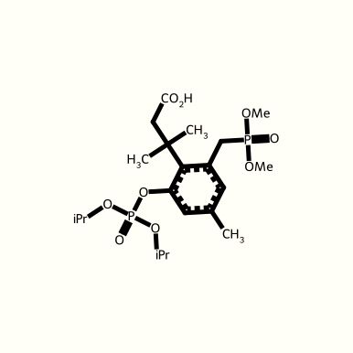 COP(=O)(Cc1cc(C)cc(OP(=O)(OC(C)C)OC(C)C)c1C(C)(C)CC(=O)O)OC